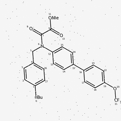 CCCCc1ccc(CN(C(=O)C(=O)OC)c2ccc(-c3ccc(OC(F)(F)F)cc3)cc2)cc1